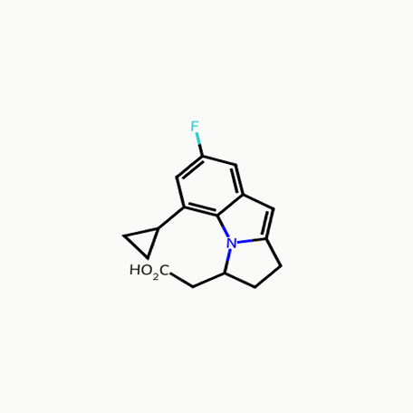 O=C(O)CC1CCc2cc3cc(F)cc(C4CC4)c3n21